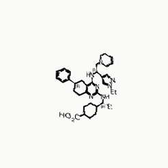 CC[C@@H](Nc1nc2c(c(N[C@@H](CN3CCCCC3)c3cnn(CC)c3)n1)C[C@H](c1ccccc1)CC2)C1CCC(C(=O)O)CC1